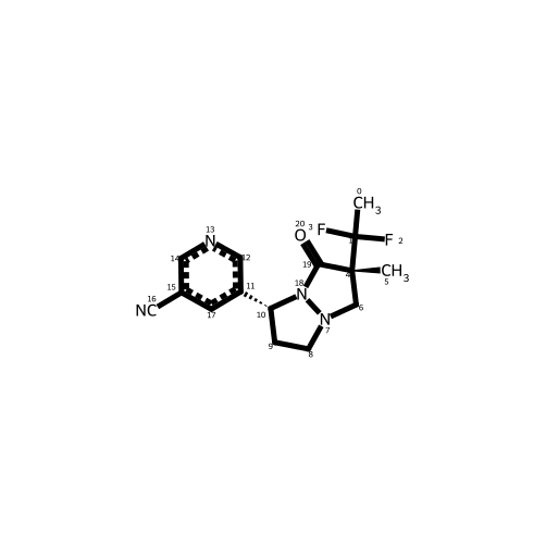 CC(F)(F)[C@]1(C)CN2CC[C@H](c3cncc(C#N)c3)N2C1=O